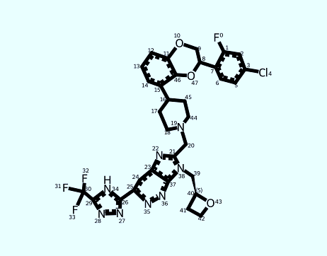 Fc1cc(Cl)ccc1C1COc2cccc(C3CCN(Cc4nc5cc(-c6nnc(C(F)(F)F)[nH]6)nnc5n4C[C@@H]4CCO4)CC3)c2O1